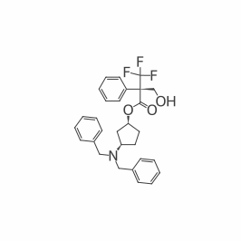 O=C(O[C@H]1CC[C@@H](N(Cc2ccccc2)Cc2ccccc2)C1)[C@](CO)(c1ccccc1)C(F)(F)F